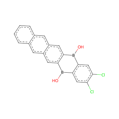 OB1c2cc(Cl)c(Cl)cc2B(O)c2cc3cc4ccccc4cc3cc21